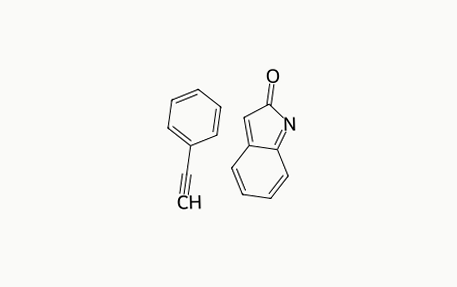 C#Cc1ccccc1.O=C1C=c2ccccc2=N1